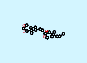 c1ccc(-c2ccc3ccc(-c4c5ccccc5c(-c5ccc6oc7c(-c8ccc9ccc(-c%10ccc(-c%11c%12ccccc%12c(-c%12ccc%13oc%14ccc%15oc%16ccccc%16c%15c%14c%13c%12)c%12ccccc%11%12)c%11ccccc%10%11)cc9c8)cc8oc9ccccc9c8c7c6c5)c5ccccc45)cc3c2)cc1